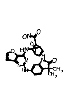 CC1(C)C(=O)Nc2cc(Nc3nc(NC4C5C=CC(C5=O)C4C(=O)N=O)c4occc4n3)ccc21